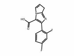 O=C(O)c1c(-c2ccc(F)cc2F)nc2n1C=CC2